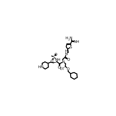 CC[C@H](CN(CC(=O)NCC1CC=C(C(=N)N)S1)C(=O)[C@@H](CCC1CCNCC1)NS(C)(=O)=O)OCC1CCCCC1